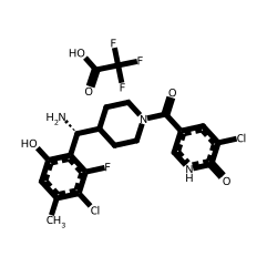 Cc1cc(O)c([C@H](N)C2CCN(C(=O)c3c[nH]c(=O)c(Cl)c3)CC2)c(F)c1Cl.O=C(O)C(F)(F)F